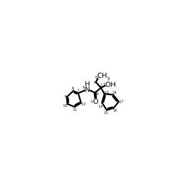 CCC(O)(C(=O)Nc1ccccc1)c1ccccc1